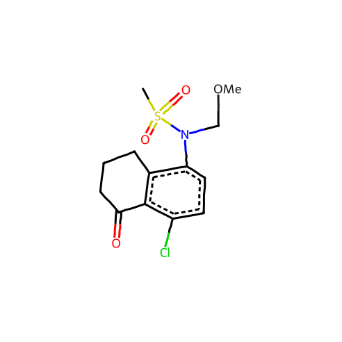 COCN(c1ccc(Cl)c2c1CCCC2=O)S(C)(=O)=O